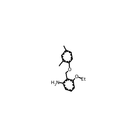 CCOc1cccc(N)c1COc1ccc(C)cc1C